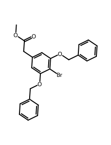 COC(=O)Cc1cc(OCc2ccccc2)c(Br)c(OCc2ccccc2)c1